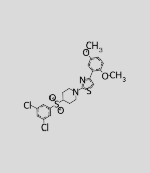 COc1ccc(OC)c(-c2csc(N3CCC(S(=O)(=O)c4cc(Cl)cc(Cl)c4)CC3)n2)c1